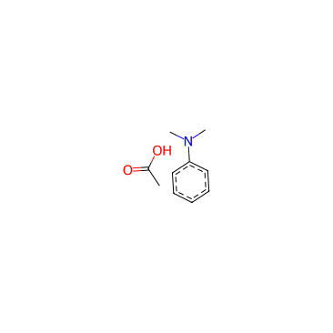 CC(=O)O.CN(C)c1ccccc1